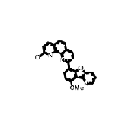 COc1ccc(-c2ccc3ccc4ccc(Cl)nc4c3n2)c2oc3cccnc3c12